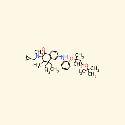 CC[C@@]1(C)c2cc(Nc3ccccc3OC(C)(C)CCOC(C)(C)C)ccc2C(=O)C(N(C)CC2CC2)[C@@H]1C